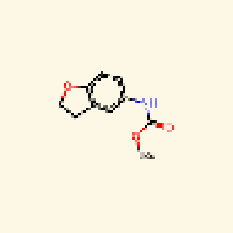 CC(C)(C)OC(=O)Nc1ccc2c(c1)CCO2